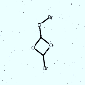 BrOC1OC(Br)O1